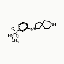 CNS(=O)(=O)c1cccc(N[C@H]2CCC3(CCNCC3)C2)c1